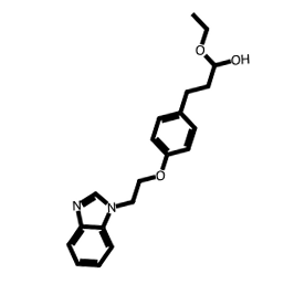 CCOC(O)CCc1ccc(OCCn2cnc3ccccc32)cc1